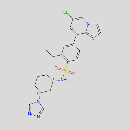 CCc1cc(-c2cc(Cl)cn3ccnc23)ccc1S(=O)(=O)N[C@H]1CCC[C@@H](n2cnnc2)C1